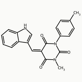 Cc1ccc(N2C(=O)/C(=C\c3c[nH]c4ccccc34)C(=O)N(C)C2=O)cc1